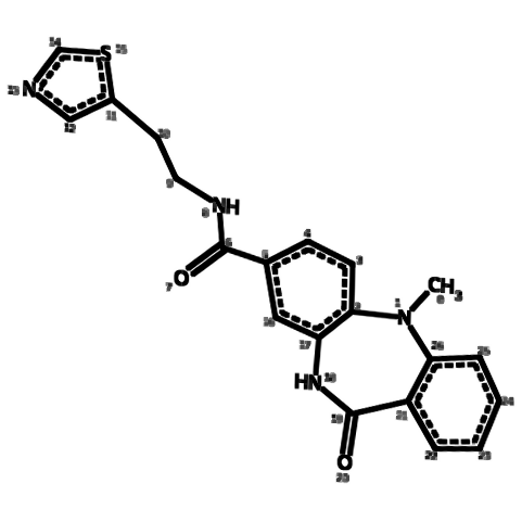 CN1c2ccc(C(=O)NCCc3cncs3)cc2NC(=O)c2ccccc21